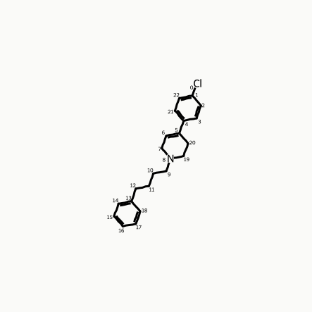 Clc1ccc(C2=CCN(CCCCc3ccccc3)CC2)cc1